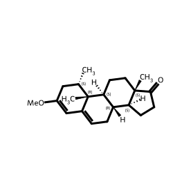 COC1=CC2=CC[C@@H]3[C@H](CC[C@]4(C)C(=O)CC[C@@H]34)[C@@]2(C)[C@@H](C)C1